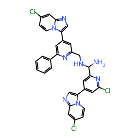 NC(NCc1cc(-c2cnc3cc(Cl)ccn23)cc(-c2ccccc2)n1)c1cc(-c2cnc3cc(Cl)ccn23)cc(Cl)n1